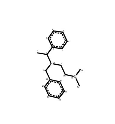 CC(c1ccccc1)N(CCN(C)C)Cc1ccccc1